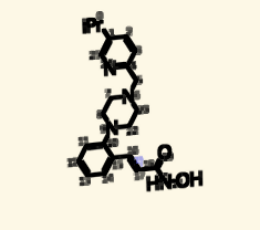 CC(C)c1ccc(CN2CCN(c3ccccc3/C=C/C(=O)NO)CC2)nc1